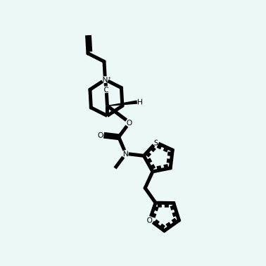 C=CC[N+]12CCC(CC1)[C@@H](OC(=O)N(C)c1sccc1Cc1ccco1)C2